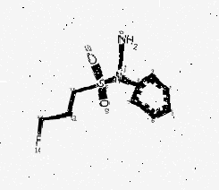 NN(c1ccccc1)S(=O)(=O)CCCF